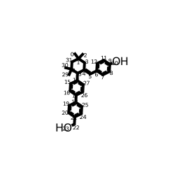 CC1(C)CC(=Cc2ccc(O)cc2)C(c2ccc(-c3ccc(CO)cc3)cc2)C(C)(C)C1